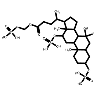 CC(CCC(=O)OCOP(=O)(O)O)C1CCC2C3C(CC(OP(=O)(O)O)C12C)C1(C)CCC(OP(=O)(O)O)CC1CC3(O)F